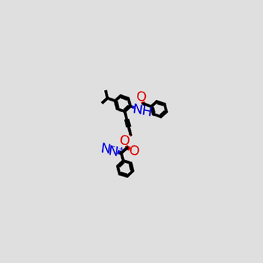 CC(C)c1ccc(NC(=O)c2ccccc2)c(C#CCOC(=O)C(=[N+]=[N-])c2ccccc2)c1